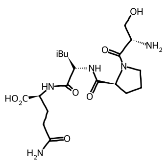 CC[C@H](C)[C@H](NC(=O)[C@@H]1CCCN1C(=O)[C@@H](N)CO)C(=O)N[C@@H](CCC(N)=O)C(=O)O